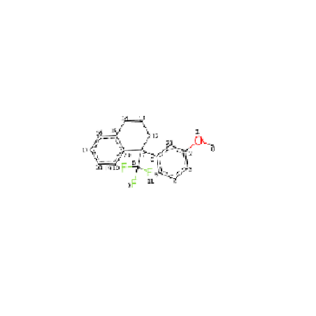 COc1cccc(C2(C(F)(F)F)CCCc3ccccc32)c1